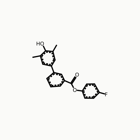 Cc1cc(-c2cccc(C(=O)Oc3ccc(F)cc3)c2)cc(C)c1O